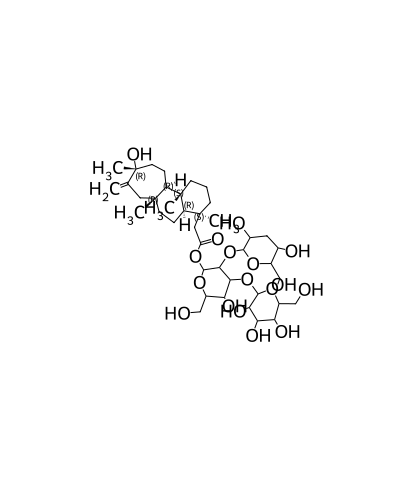 C=C1C[C@@]2(C)CC[C@@H]3[C@](C)(CC(=O)OC4OC(CO)C(O)C(OC5OC(CO)C(O)C(O)C5O)C4OC4OC(CO)C(O)CC4O)CCC[C@@]3(C)[C@@H]2CC[C@@]1(C)O